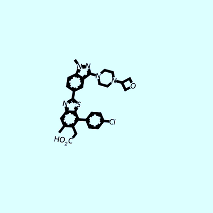 Cc1cc2nc(-c3ccc4c(c3)c(N3CCN(C5COC5)CC3)nn4C)sc2c(-c2ccc(Cl)cc2)c1CC(=O)O